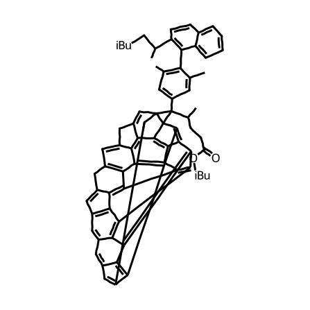 CCC(C)CC(C)c1ccc2ccccc2c1-c1c(C)cc(C2(C(C)CCC(=O)OC(C)CC)C34C=C5Cc6cc7c8c9c6c5c5c6c%10c(c%11c(cc%12cc%13cc%14cc(c%15c%14c%14c%13c(c%12%11)c%10c%14c(c%158)c69)C7)C3)C542)cc1C